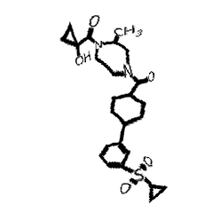 CC1CN(C(=O)C2CCC(c3cccc(S(=O)(=O)C4CC4)c3)CC2)CCN1C(=O)C1(O)CC1